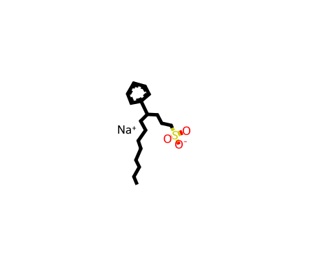 CCCCCCCCC(CCCS(=O)(=O)[O-])c1ccccc1.[Na+]